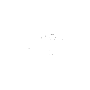 CCCCCCCCCCCCCCNS(=O)(=O)c1ccc(OCCC)c([N+]#N)c1.[O-][Cl+3]([O-])([O-])[O-]